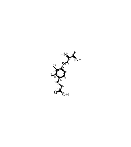 CC(=N)C(=N)CSc1ccc(SCC(=O)O)c(C)c1C